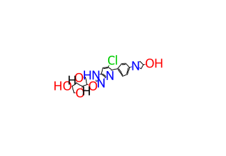 OC1CN(c2ccc(-c3nc4nc(O[C@@H]5CO[C@H]6[C@@H]5OC[C@H]6O)[nH]c4cc3Cl)cc2)C1